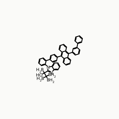 BC(B)(B)C(B)(O)c1nc2ccccc2n1-c1ccccc1-c1ccc(-c2c3ccccc3c(-c3cccc(-c4ccccc4)c3)c3ccccc23)cc1